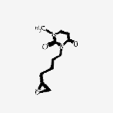 Cn1ccc(=O)n(CCCCC2CO2)c1=O